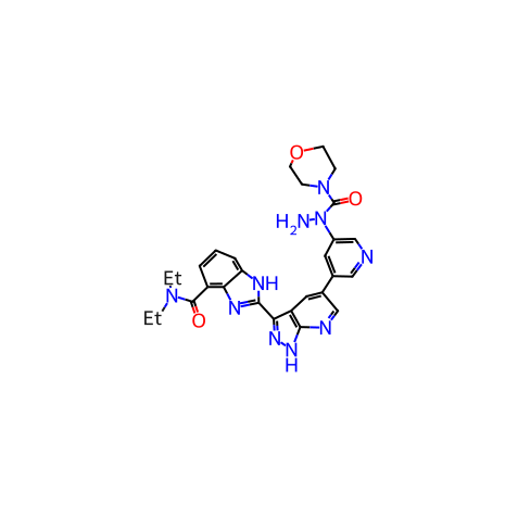 CCN(CC)C(=O)c1cccc2[nH]c(-c3n[nH]c4ncc(-c5cncc(N(N)C(=O)N6CCOCC6)c5)cc34)nc12